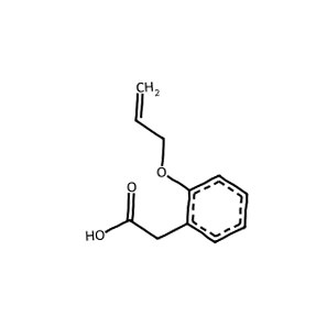 C=CCOc1ccccc1CC(=O)O